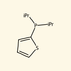 CC(C)P(c1cccs1)C(C)C